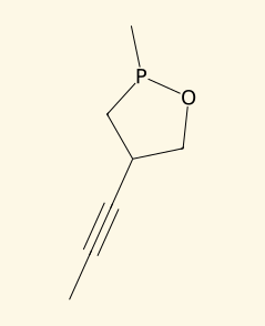 CC#CC1COP(C)C1